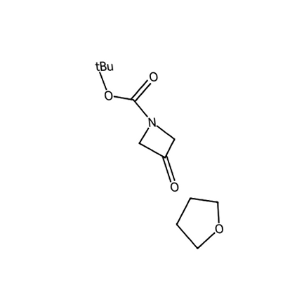 C1CCOC1.CC(C)(C)OC(=O)N1CC(=O)C1